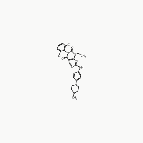 CCn1c(=O)n(-c2c(Cl)cccc2Cl)c(=O)c2cnc(Nc3ccc(N4CCN(C)CC4)cc3)nc21